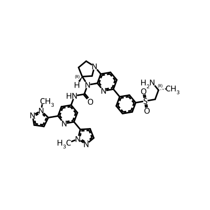 C[C@@H](N)CS(=O)(=O)c1cccc(-c2ccc3c(n2)N(C(=O)Nc2cc(-c4ccnn4C)nc(-c4ccnn4C)c2)[C@@H]2CCN3C2)c1